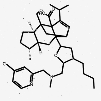 CCCCC1CC(C23C[C@@H]4[C@H](C)CC[C@H]4C4(C=O)CC2C=C(C(C)C)C34C(=O)O)OC1CN(C)Cc1cc(Cl)ccn1